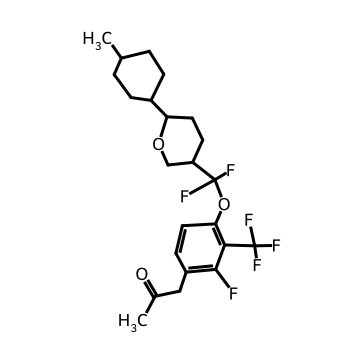 CC(=O)Cc1ccc(OC(F)(F)C2CCC(C3CCC(C)CC3)OC2)c(C(F)(F)F)c1F